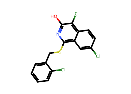 Oc1nc(SCc2ccccc2Cl)c2cc(Cl)ccc2c1Cl